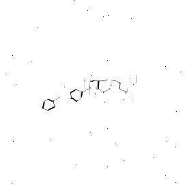 CC(CC(=O)O)CN1CCc2nc(-c3ccc(OCc4ccccc4)cc3)ncc2C1